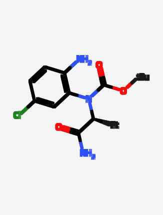 CC[C@@H](C(N)=O)N(C(=O)OC(C)(C)C)c1cc(Cl)ccc1N